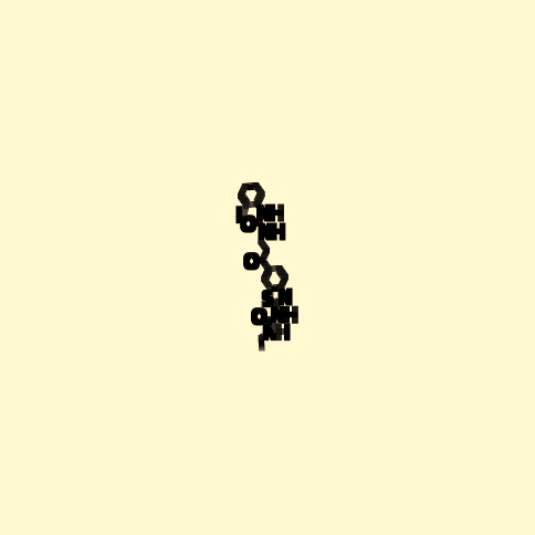 CCNC(=O)Nc1nc2ccc(C(=O)CCNC(=O)Nc3ccccc3F)cc2s1